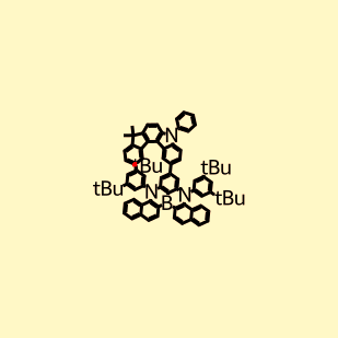 CC(C)(C)c1cc(N2c3cc(-c4ccc5c(c4)c4c6c(ccc4n5-c4ccccc4)C(C)(C)c4ccccc4-6)cc4c3B(c3ccc5ccccc5c32)c2ccc3ccccc3c2N4c2cc(C(C)(C)C)cc(C(C)(C)C)c2)cc(C(C)(C)C)c1